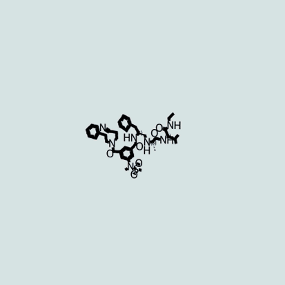 CCNC(=O)[C@@H](NC(=O)[C@H](C)NC[C@H](Cc1ccccc1)NC(=O)c1cc(C(=O)N(CCC#N)CCc2ccccc2)cc(N(C)S(C)(=O)=O)c1)C(C)C